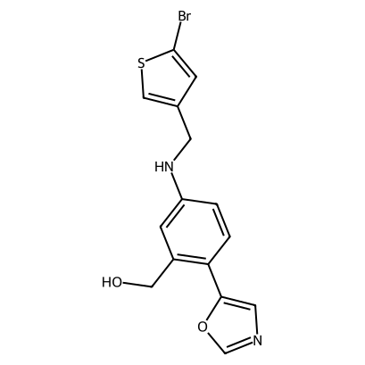 OCc1cc(NCc2csc(Br)c2)ccc1-c1cnco1